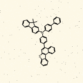 CC1(C)c2ccccc2-c2ccc(N(c3ccc(-c4ccccc4)cc3)c3ccc(-c4cc5sc6ccccc6c5c5ccccc45)cc3)cc21